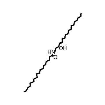 CCCCCCCCCCCCCC=CC(O)CCNC(=O)CCCCCCCCCCCCCCCCC